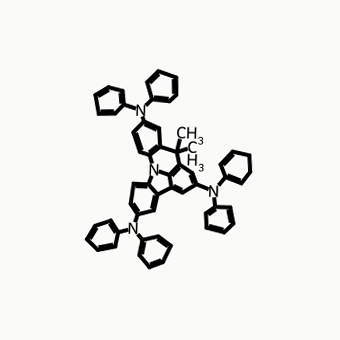 CC1(C)c2cc(N(c3ccccc3)c3ccccc3)ccc2-n2c3ccc(N(c4ccccc4)c4ccccc4)cc3c3cc(N(C4=CCCC=C4)c4ccccc4)cc1c32